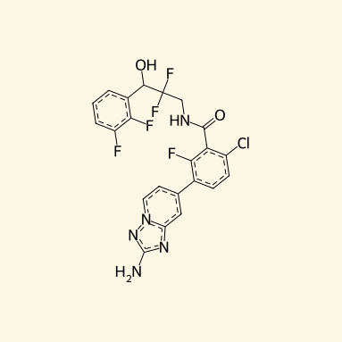 Nc1nc2cc(-c3ccc(Cl)c(C(=O)NCC(F)(F)C(O)c4cccc(F)c4F)c3F)ccn2n1